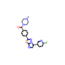 CN1CCN(C(=O)c2ccc(-c3nn4c(-c5ccc(F)nc5)cnc4s3)cc2)CC1